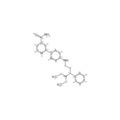 CCN(CC)C(CCNc1ccc(-c2cc(C(N)=O)ccn2)nc1)c1ccccc1